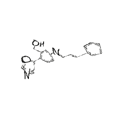 OCc1cc(/N=C/C=C/c2ccccc2)ccc1-c1cnco1